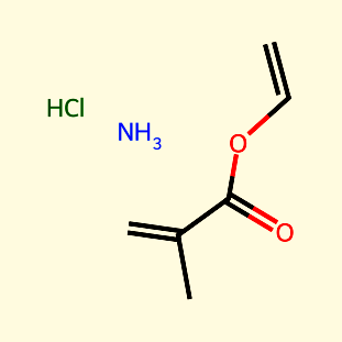 C=COC(=O)C(=C)C.Cl.N